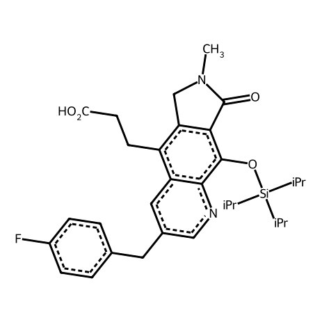 CC(C)[Si](Oc1c2c(c(CCC(=O)O)c3cc(Cc4ccc(F)cc4)cnc13)CN(C)C2=O)(C(C)C)C(C)C